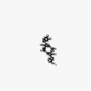 Nc1ncnc2c1ncn2[C@@H]1O[C@@H]2COP(=O)(O)OC3C(O)[C@H](n4cnc5cc(Cl)c(Cl)cc54)O[C@@H]3COP(=O)(O)OC2C1O